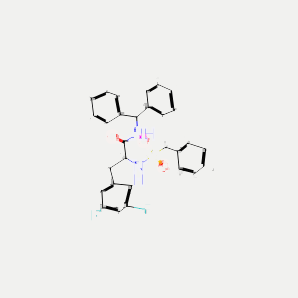 O=C(NC(c1ccccc1)c1ccccc1)C(Cc1cc(F)cc(F)c1)NS(=O)(=O)Cc1ccccc1